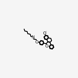 CCCCCCN=CCOc1ccc(C(=O)C2=C(c3ccccc3)CCc3cc(OC)ccc32)cc1